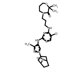 Cc1nn(C2CC3CCC(C2)N3C)cc1Nc1ncc(Cl)c(NCCCN2CCCOC(C)(C)C2=O)n1